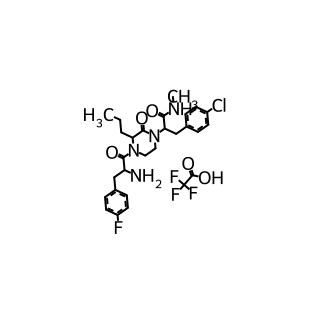 CCCC1C(=O)N(C(Cc2ccc(Cl)cc2)C(=O)NC)CCN1C(=O)C(N)Cc1ccc(F)cc1.O=C(O)C(F)(F)F